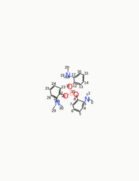 CN(C)c1ccccc1OB(Oc1ccccc1N(C)C)Oc1ccccc1N(C)C